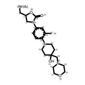 CC(=O)NCC1CN(c2ccc(N3CCC(O)(CN4CCOCC4)CC3)c(F)c2)C(=O)O1